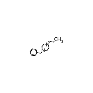 CC[CH]N1CCN(Cc2ccccc2)CC1